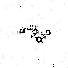 Cc1ccc(Nc2ncc(Br)c(NCCc3c[nH]cn3)n2)cc1NC(=O)N1CCCC1